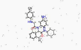 Cc1ccccc1C(C(=O)NC1CCCCC1)N(C(=O)CNc1ccc(C#N)cc1)c1cccc(N)c1